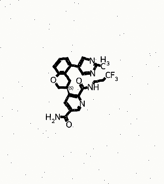 Cc1ncc(-c2cccc3c2C[C@@H](c2cc(C(N)=O)cnc2C(=O)NCCC(F)(F)F)CO3)cn1